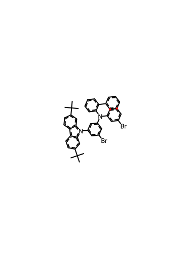 CC(C)(C)c1ccc2c3ccc(C(C)(C)C)cc3n(-c3cc(Br)cc(N(c4cccc(Br)c4)c4ccccc4-c4ccccc4)c3)c2c1